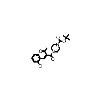 CC(=O)C(=Cc1ccccc1Cl)C(=O)N1CCN(C(=O)OC(C)(C)C)CC1